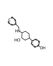 Cl.Oc1ccc(C2CCC(NCc3ccccc3)CC2)cc1